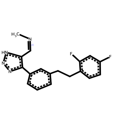 C/N=C\c1[nH]nnc1-c1cccc(CCc2ccc(F)cc2F)c1